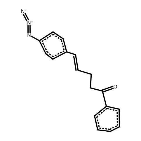 [N-]=[N+]=Nc1ccc(C=CCCC(=O)c2ccccc2)cc1